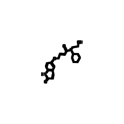 O=C(C=CCOc1ccc2[nH]c(=O)ccc2c1)N(CCO)C1CCCCC1